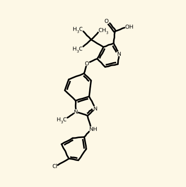 Cn1c(Nc2ccc(Cl)cc2)nc2cc(Oc3ccnc(C(=O)O)c3C(C)(C)C)ccc21